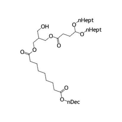 CCCCCCCCCCOC(=O)CCCCCCCC(=O)OCC(CO)COC(=O)CCC(OCCCCCCC)OCCCCCCC